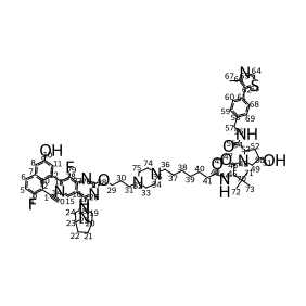 C#Cc1c(F)ccc2cc(O)cc(-c3ncc4c(N5CC6CCC(C5)N6)nc(OCCCN5CCN(CCCCCCC(=O)N[C@H](C(=O)N6C[C@H](O)C[C@H]6C(=O)NCc6ccc(-c7scnc7C)cc6)C(C)(C)C)CC5)nc4c3F)c12